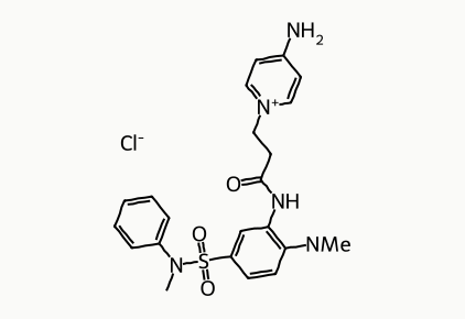 CNc1ccc(S(=O)(=O)N(C)c2ccccc2)cc1NC(=O)CC[n+]1ccc(N)cc1.[Cl-]